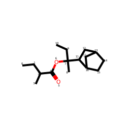 CCC(C)C(=O)OC(C)(CC)C1CC2CCC1C2